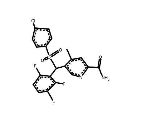 Cc1cc(C(N)=O)ncc1C(c1c(F)ccc(F)c1F)S(=O)(=O)c1ccc(Cl)cc1